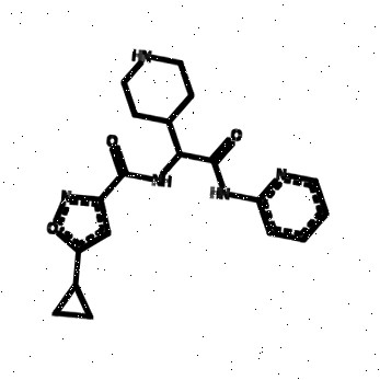 O=C(NC(C(=O)Nc1ccccn1)C1CCNCC1)c1cc(C2CC2)on1